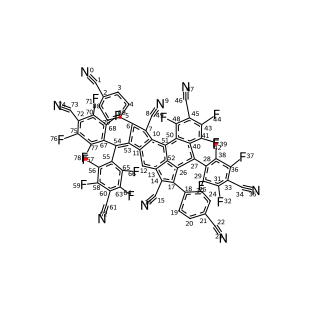 N#Cc1ccc(-c2c(C#N)c3c(cc4c(C#N)c(-c5ccc(C#N)cc5)c5c(-c6c(F)c(F)c(C#N)c(F)c6F)c6c(F)c(F)c(C#N)c(F)c6c3c45)c2=C(c2c(F)c(F)c(C#N)c(F)c2F)c2c(F)c(F)c(C#N)c(F)c2F)cc1